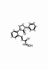 O=C(C=Cc1ccccc1N1CCN(c2ccccc2)C1=O)NO